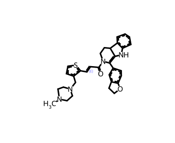 CN1CCN(Cc2ccsc2/C=C/C(=O)N2CCC3C(=C2c2ccc4c(c2)CCO4)Nc2ccccc23)CC1